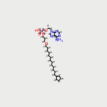 C[C@H](Cn1cnc2c(N)ncnc21)OCP(=O)(O)OCCCOCCCCCCCCCCCCCC1CCCC1